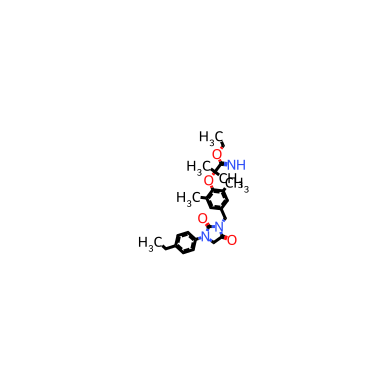 CCOC(=N)C(C)(C)Oc1c(C)cc(CN2C(=O)CN(c3ccc(CC)cc3)C2=O)cc1C